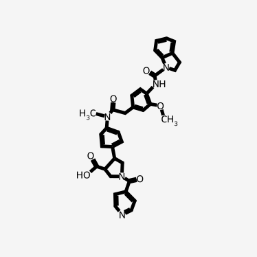 COc1cc(CC(=O)N(C)c2ccc(C3CN(C(=O)c4ccncc4)CC3C(=O)O)cc2)ccc1NC(=O)N1CCc2ccccc21